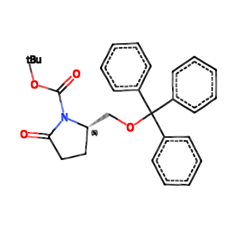 CC(C)(C)OC(=O)N1C(=O)CC[C@H]1COC(c1ccccc1)(c1ccccc1)c1ccccc1